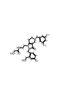 O=C(CO)NCCn1c2c(c(=O)n1Cc1ccc(Cl)cc1CO)CN(Cc1cc(F)cc(F)c1)CC2